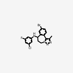 Cc1nnn2c1-c1ccc(Br)cc1C(Nc1cc(F)cc(Cl)c1)CC2